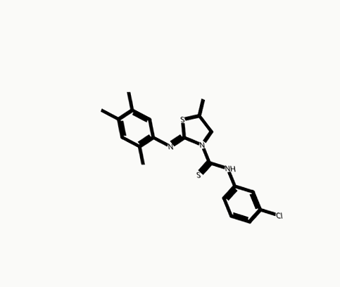 Cc1cc(C)c(N=C2SC(C)CN2C(=S)Nc2cccc(Cl)c2)cc1C